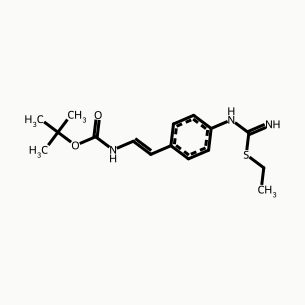 CCSC(=N)Nc1ccc(C=CNC(=O)OC(C)(C)C)cc1